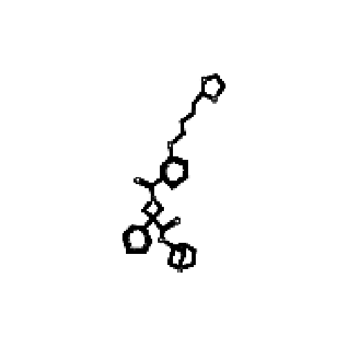 O=C(c1cccc(OCCCCC2OCCO2)c1)N1CC(C(=O)OC2CN3CCC2CC3)(c2ccccc2)C1